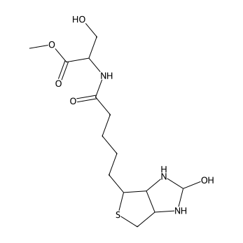 COC(=O)C(CO)NC(=O)CCCCC1SCC2NC(O)NC21